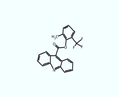 Cc1cccc(C(F)(F)F)c1OC(=O)c1c2ccccc2nc2ccccc12